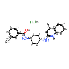 Cc1cc(NC2CCC(NC(=O)c3cccc(C#N)c3)CC2)nc2ccccc12.Cl